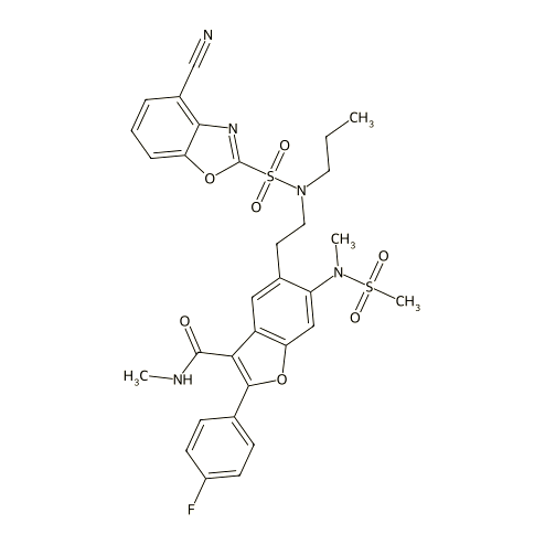 CCCN(CCc1cc2c(C(=O)NC)c(-c3ccc(F)cc3)oc2cc1N(C)S(C)(=O)=O)S(=O)(=O)c1nc2c(C#N)cccc2o1